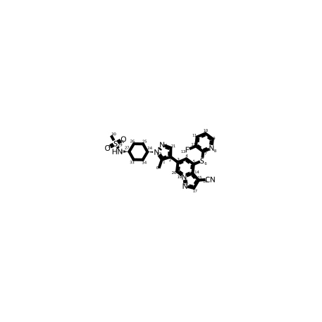 Cc1c(-c2cc(Sc3ncccc3F)c3c(C#N)cnn3c2)cnn1[C@H]1CC[C@@H](NS(C)(=O)=O)CC1